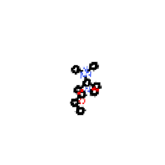 c1ccc(-c2nc(-c3ccccc3)nc(-c3cc(-c4ccccc4)c(N(c4ccccc4)c4ccc5c(c4)oc4c(-c6ccccc6)cccc45)c(-c4ccccc4)c3)n2)cc1